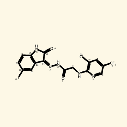 O=C(CNc1ncc(C(F)(F)F)cc1Cl)N/N=C1\C(=O)Nc2ccc(I)cc21